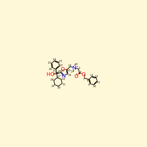 C[N+](C)(CC(=O)OCc1ccccc1)Cc1cnc([C@](O)(c2ccccc2)C2CCCCC2)o1